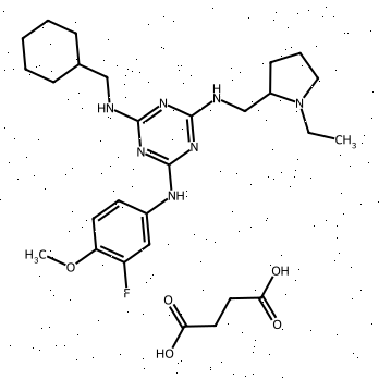 CCN1CCCC1CNc1nc(NCC2CCCCC2)nc(Nc2ccc(OC)c(F)c2)n1.O=C(O)CCC(=O)O